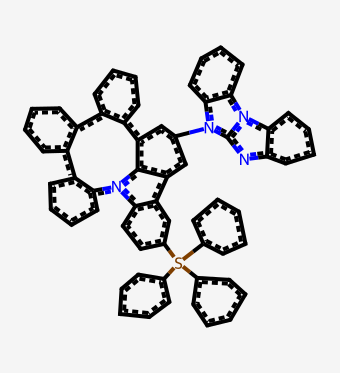 c1ccc(S(c2ccccc2)(c2ccccc2)c2ccc3c(c2)c2cc(-n4c5ccccc5n5c6ccccc6nc45)cc4c5ccccc5c5ccccc5c5ccccc5n3c42)cc1